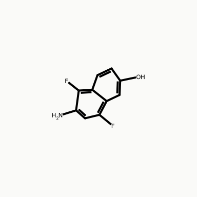 Nc1cc(F)c2cc(O)ccc2c1F